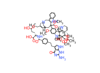 CCC1=C[C@@H]2C[N@](C1)Cc1c([nH]c3ccccc13)[C@@](C(=O)OC)(c1cc3c(cc1OC)N(C)[C@H]1[C@@](O)(C(=O)OC)[C@H](OC(C)=O)[C@]4(CC)C=CCN5CC[C@]31[C@@H]54)C2.Nc1nc(=O)c2c(CCc3ccc(C(=O)N[C@@H](CCC(=O)O)C(=O)O)cc3)c[nH]c2[nH]1